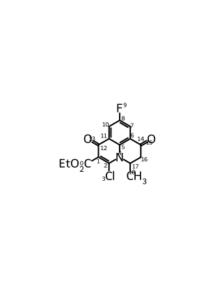 CCOC(=O)c1c(Cl)n2c3c(cc(F)cc3c1=O)C(=O)CC2C